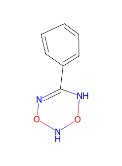 c1ccc(-c2no[nH]o[nH]2)cc1